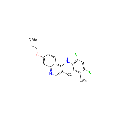 COCCOc1ccc2c(Nc3cc(OC)c(Cl)cc3Cl)c(C#N)cnc2c1